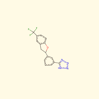 FC(F)(F)c1ccc2c(c1)CC(c1cccc(-c3nnn[nH]3)c1)O2